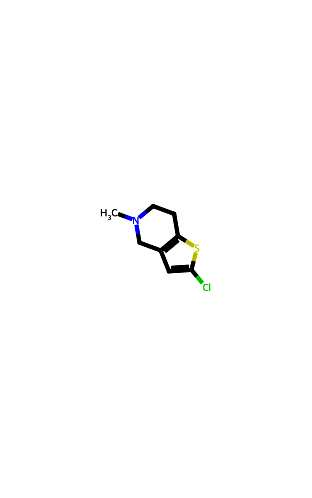 CN1CCc2sc(Cl)cc2C1